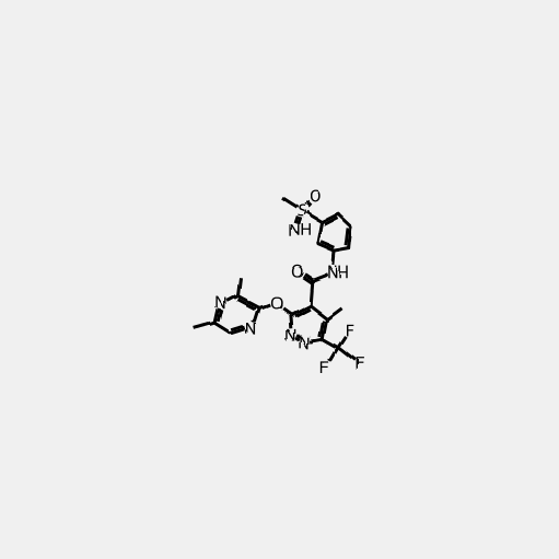 Cc1cnc(Oc2nnc(C(F)(F)F)c(C)c2C(=O)Nc2cccc(S(C)(=N)=O)c2)c(C)n1